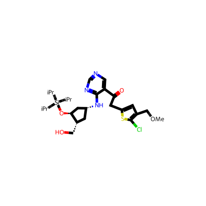 COCc1cc(CC(=O)c2cncnc2N[C@@H]2C[C@H](CO)[C@@H](O[Si](C(C)C)(C(C)C)C(C)C)C2)sc1Cl